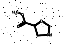 COC(=O)C1CNCO1